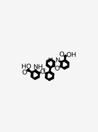 Nc1c(Oc2ccccc2-c2ccccc2Oc2cccc(C(=O)O)c2N)cccc1C(=O)O